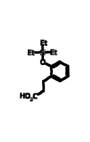 CC[Si](CC)(CC)Oc1ccccc1CCC(=O)O